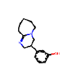 Oc1cccc(C2CN=C3CCCCCN3C2)c1